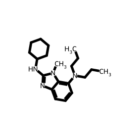 CCCN(CCC)c1cccc2nc(NC3CCCCC3)n(C)c12